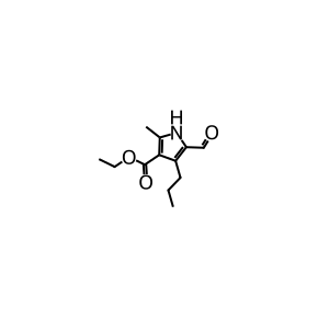 CCCc1c(C=O)[nH]c(C)c1C(=O)OCC